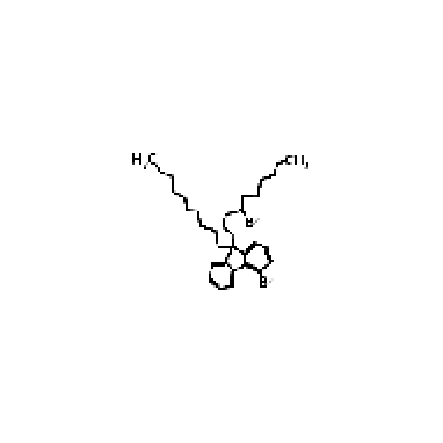 CCCCCCCCCCC1(CCCC(Br)CCCCCC)c2ccccc2-c2c(Br)cccc21